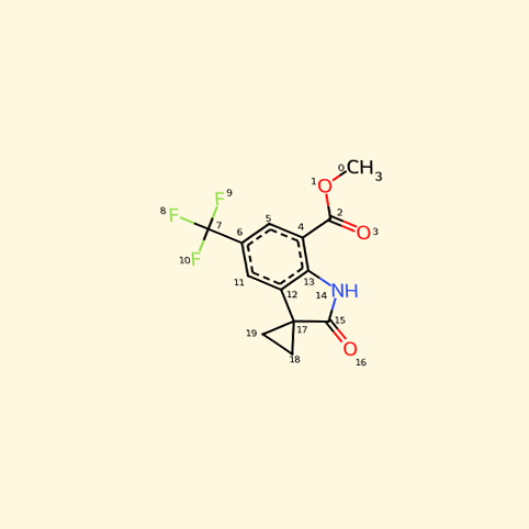 COC(=O)c1cc(C(F)(F)F)cc2c1NC(=O)C21CC1